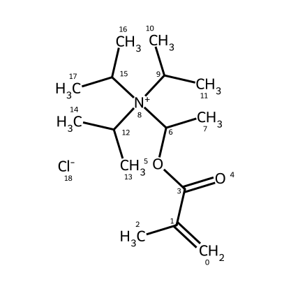 C=C(C)C(=O)OC(C)[N+](C(C)C)(C(C)C)C(C)C.[Cl-]